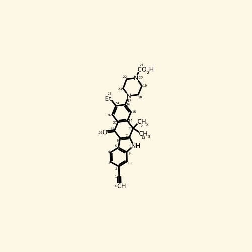 C#Cc1ccc2c3c([nH]c2c1)C(C)(C)c1cc(N2CCN(C(=O)O)CC2)c(CC)cc1C3=O